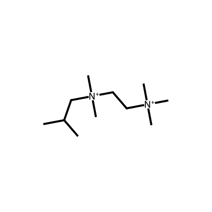 CC(C)C[N+](C)(C)CC[N+](C)(C)C